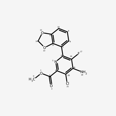 COC(=O)c1nc(-c2cccc3c2OCO3)c(F)c(N)c1Cl